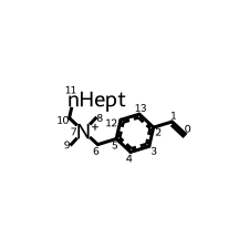 C=Cc1ccc(C[N+](C)(C)CCCCCCCC)cc1